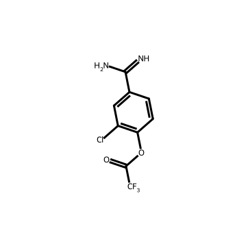 N=C(N)c1ccc(OC(=O)C(F)(F)F)c(Cl)c1